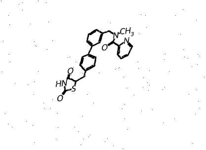 CN(Cc1cccc(-c2ccc(CC3SC(=O)NC3=O)cc2)c1)C(=O)c1ccccn1